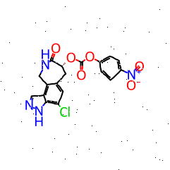 O=C(Oc1ccc([N+](=O)[O-])cc1)O[C@@H]1Cc2cc(Cl)c3[nH]ncc3c2CNC1=O